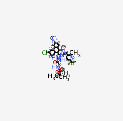 [C-]#[N+]c1ccc(-c2c(-c3ccc(Cl)cc3)c(NNC(=O)CNC(=O)OC(C)(C)C)nn(Cc3ccc(C(F)(F)F)nc3C)c2=O)cc1